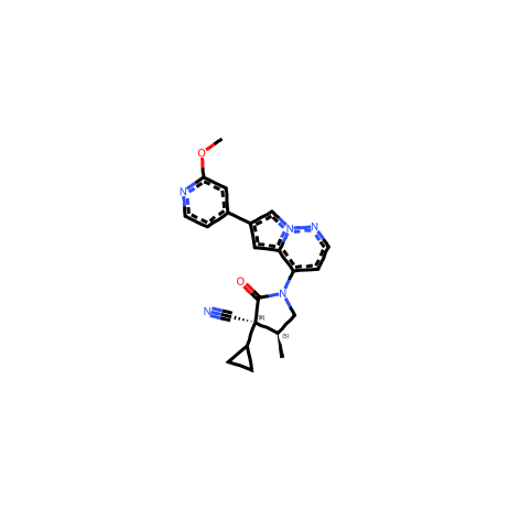 COc1cc(-c2cc3c(N4C[C@@H](C)[C@@](C#N)(C5CC5)C4=O)ccnn3c2)ccn1